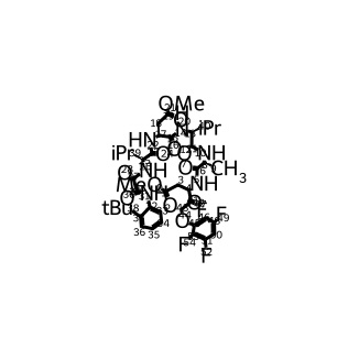 COC(=O)CC(NC(=O)[C@H](C)NC(=O)[C@@H](NC(=O)[C@H](CC(=O)OC)NC(=O)[C@@H](NC(=O)C(=O)Nc1ccccc1C(C)(C)C)C(C)C)C(C)C)C(=O)COc1c(F)c(F)cc(F)c1F